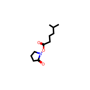 CC(C)CCCC(=O)ON1CCCC1=O